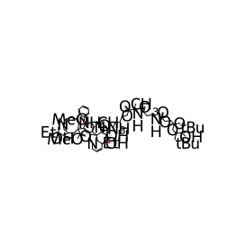 CCC1(O)CC2CN(CCc3c([nH]c4ccccc34)C(C(=O)OC)(c3cc4c(cc3OC)N(C)C3C45CCN4CC=C[C@](CC)(C45)[C@@H](O)[C@]3(O)C(=O)NCCCOC(=O)C(C)NC(=O)CCNC(=O)OCC(OC(CO)CC(C)(C)C)OC(C)(C)C)C2)C1